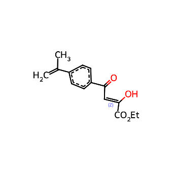 C=C(C)c1ccc(C(=O)/C=C(\O)C(=O)OCC)cc1